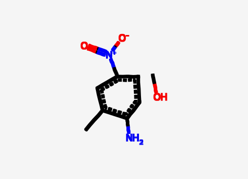 CO.Cc1cc([N+](=O)[O-])ccc1N